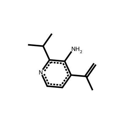 C=C(C)c1ccnc(C(C)C)c1N